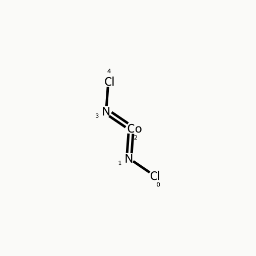 Cl[N]=[Co]=[N]Cl